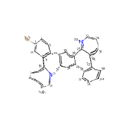 Brc1cccc(-c2ccccn2)c1.[Ir].c1ccc(-c2cccnc2-c2ccccc2)cc1